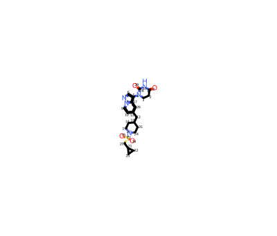 O=C1CCN(c2cnn3ccc(CC4CCN(S(=O)(=O)CC5CC5)CC4)cc23)C(=O)N1